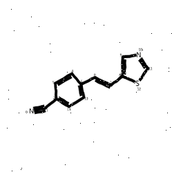 N#Cc1ccc(C=Cc2cncs2)cc1